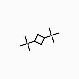 C[Si](C)(C)C1CC([Si](C)(C)C)C1